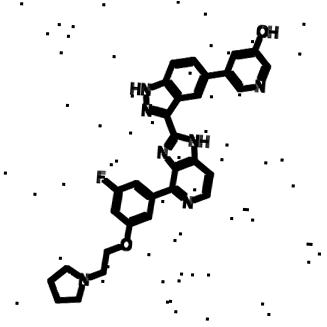 Oc1cncc(-c2ccc3[nH]nc(-c4nc5c(-c6cc(F)cc(OCCN7CCCC7)c6)nccc5[nH]4)c3c2)c1